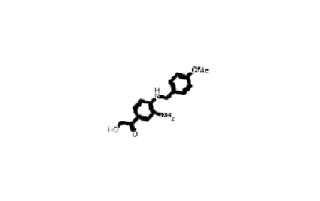 COc1ccc(CNc2ccc(C(=O)CO)cc2N)cc1